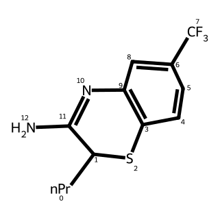 CCCC1Sc2ccc(C(F)(F)F)cc2N=C1N